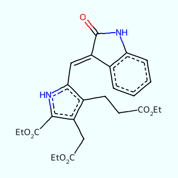 CCOC(=O)CCc1c(C=C2C(=O)Nc3ccccc32)[nH]c(C(=O)OCC)c1CC(=O)OCC